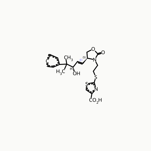 CC(C)(c1ccccc1)[C@H](O)/C=C/[C@H]1COC(=O)N1CCSc1nc(C(=O)O)cs1